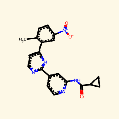 Cc1ccc([N+](=O)[O-])cc1-c1ccnc(-c2ccnc(NC(=O)C3CC3)c2)n1